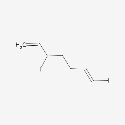 C=CC(I)CCC=CI